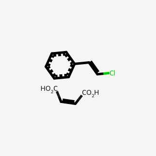 ClC=Cc1ccccc1.O=C(O)/C=C\C(=O)O